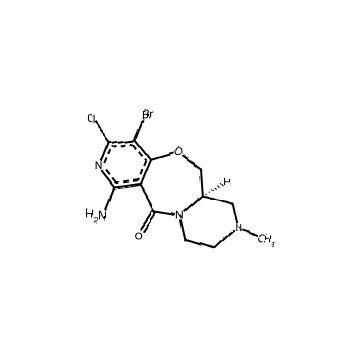 CN1CCN2C(=O)c3c(N)nc(Cl)c(Br)c3OC[C@H]2C1